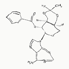 CC1(C)O[C@@H]2[C@@H](OC(=O)c3ccccc3)[C@H](n3cnc4c(N)ncnc43)OC[C@@H]2O1